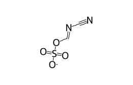 N#CN=COS([O])(=O)=O